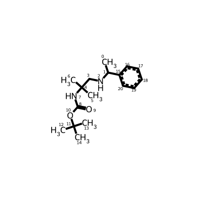 CC(NCC(C)(C)NC(=O)OC(C)(C)C)c1ccccc1